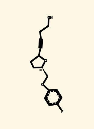 OCCC#CC1CC[C@@H](COc2ccc(F)cc2)O1